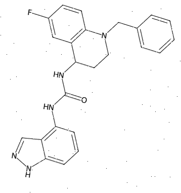 O=C(Nc1cccc2[nH]ncc12)NC1CCN(Cc2ccccc2)c2ccc(F)cc21